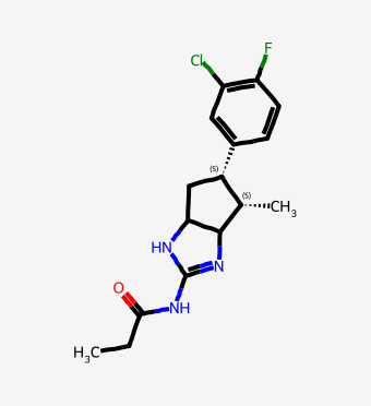 CCC(=O)NC1=NC2C(C[C@H](c3ccc(F)c(Cl)c3)[C@@H]2C)N1